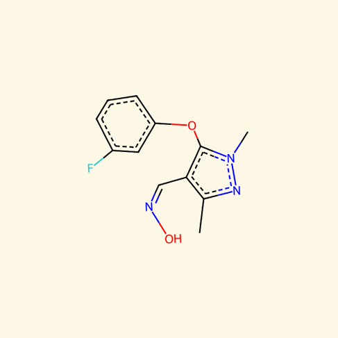 Cc1nn(C)c(Oc2cccc(F)c2)c1/C=N\O